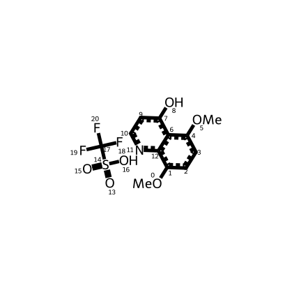 COc1ccc(OC)c2c(O)ccnc12.O=S(=O)(O)C(F)(F)F